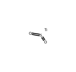 O=S=O.[Ti]